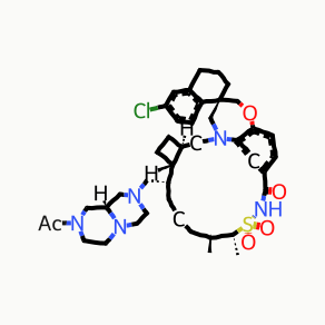 CC(=O)N1CCN2CCN(C[C@H]3CCC[C@H](C)[C@@H](C)S(=O)(=O)NC(=O)c4ccc5c(c4)N(C[C@@H]4CC[C@@H]34)C[C@@]3(CCCc4cc(Cl)ccc43)CO5)C[C@@H]2C1